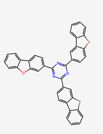 c1ccc2c(c1)oc1cc(-c3nc(-c4ccc5c(c4)sc4ccccc45)nc(-c4ccc5sc6ccccc6c5c4)n3)ccc12